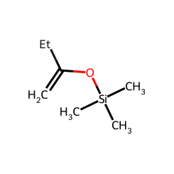 C=C(CC)O[Si](C)(C)C